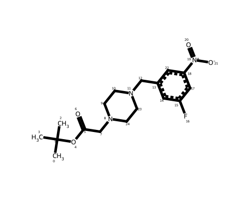 CC(C)(C)OC(=O)CN1CCN(Cc2cc(F)cc([N+](=O)[O-])c2)CC1